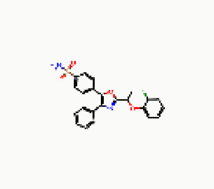 CC(Oc1ccccc1F)c1nc(-c2ccccc2)c(-c2ccc(S(N)(=O)=O)cc2)o1